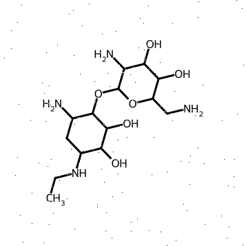 CCNC1CC(N)C(OC2OC(CN)C(O)C(O)C2N)C(O)C1O